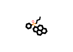 CCCCP(=O)(c1ccccc1)c1ccc2ccc3cccc4ccc1c2c34